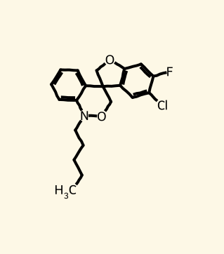 CCCCCN1OCC2(COc3cc(F)c(Cl)cc32)c2ccccc21